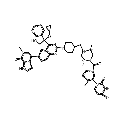 Cc1ccc(C(=O)N2C[C@H](C)N(CC3CCN(c4nc(C(CO)(OC5CC5)c5cccnc5)c5cc(-c6cn(C)c(=O)c7[nH]ccc67)ccc5n4)CC3)C[C@H]2C)cc1-n1ccc(=O)[nH]c1=O